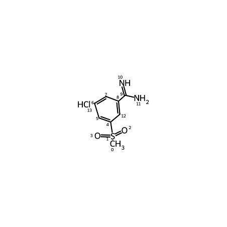 CS(=O)(=O)c1cccc(C(=N)N)c1.Cl